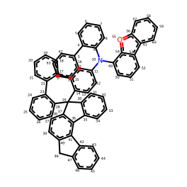 c1ccc(-c2ccccc2N(c2ccc3c(c2)-c2ccccc2-c2ccccc2C32c3ccccc3-c3c2ccc2c3-c3ccccc3C2)c2cccc3c2oc2ccccc23)cc1